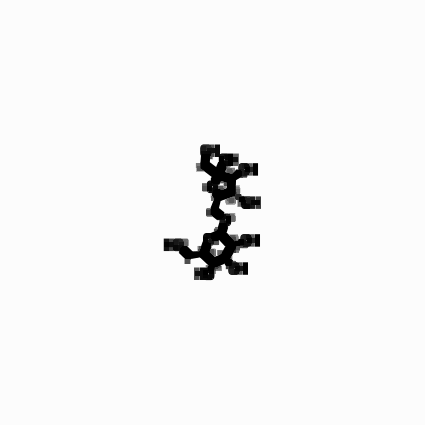 OC[C@H]1OC(OC[C@H]2OC(O)(CO)[C@@H](O)[C@@H]2O)[C@H](O)[C@@H](O)[C@@H]1O